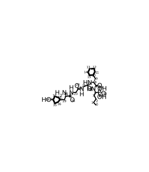 CCCCC(NC(=O)[C@H](Cc1ccccc1)NC(=O)CNC(=O)CNC(=O)[C@@H](N)Cc1ccc(O)cc1)P(=O)(O)O